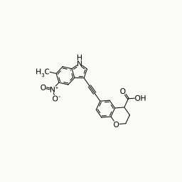 Cc1cc2[nH]cc(C#Cc3ccc4c(c3)C(C(=O)O)CCO4)c2cc1[N+](=O)[O-]